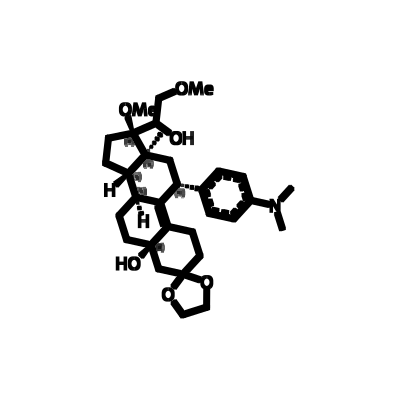 COCC(O)[C@@]1(OC)CC[C@H]2[C@@H]3CC[C@@]4(O)CC5(CCC4=C3[C@@H](c3ccc(N(C)C)cc3)C[C@@]21C)OCCO5